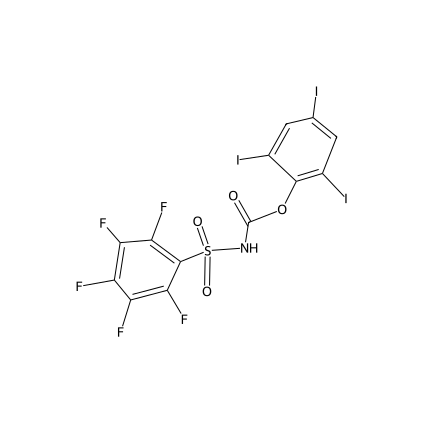 O=C(NS(=O)(=O)c1c(F)c(F)c(F)c(F)c1F)Oc1c(I)cc(I)cc1I